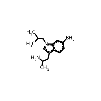 Bc1ccc2c(CC(C)N)cn(CC(C)C)c2c1